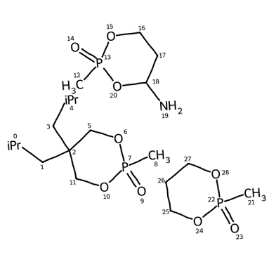 CC(C)CC1(CC(C)C)COP(C)(=O)OC1.CP1(=O)OCCC(N)O1.CP1(=O)OCCCO1